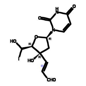 O=C/C=C/[C@]1(O)C[C@H](n2ccc(=O)[nH]c2=O)O[C@@H]1C(O)I